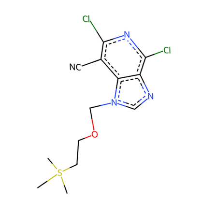 CS(C)(C)CCOCn1cnc2c(Cl)nc(Cl)c(C#N)c21